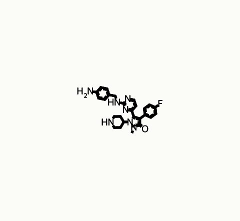 Cn1c(=O)c(-c2ccc(F)cc2)c(-c2ccnc(NCc3ccc(N)cc3)n2)n1C1CCNCC1